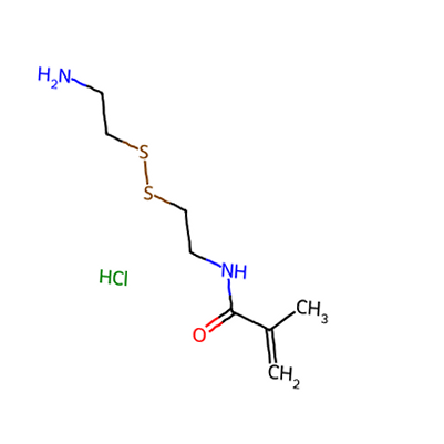 C=C(C)C(=O)NCCSSCCN.Cl